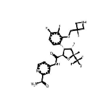 C[C@H]1[C@@H](c2ccc(F)c(F)c2OCC2(F)CNC2)[C@H](C(=O)Nc2ccnc(C(N)=O)c2)O[C@@]1(C)C(F)(F)F